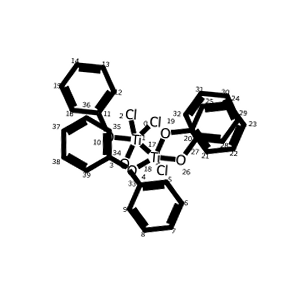 [Cl][Ti]([Cl])([O]c1ccccc1)([O]c1ccccc1)[Ti]([Cl])([O]c1ccccc1)([O]c1ccccc1)[O]c1ccccc1